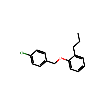 CCCc1ccccc1OCc1ccc(Cl)cc1